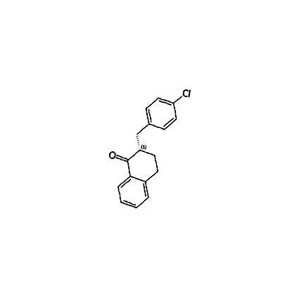 O=C1c2ccccc2CC[C@H]1Cc1ccc(Cl)cc1